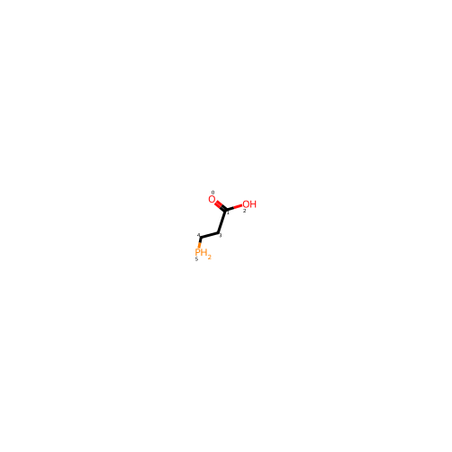 O=C(O)CCP